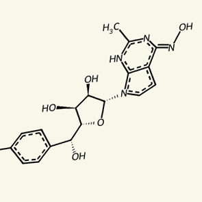 Cc1n/c(=N\O)c2ccn([C@@H]3O[C@H]([C@H](O)c4ccc(Cl)cc4)[C@@H](O)[C@H]3O)c2[nH]1